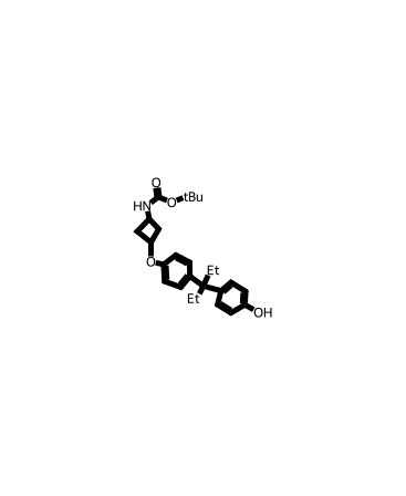 CCC(CC)(c1ccc(O)cc1)c1ccc(OC2CC(NC(=O)OC(C)(C)C)C2)cc1